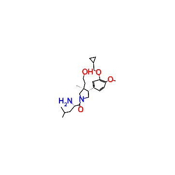 COc1ccc([C@@H]2CN(C(=O)[C@@H](N)CC(C)C)C[C@@]2(C)CCO)cc1OCC1CC1